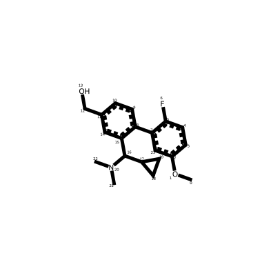 COc1ccc(F)c(-c2ccc(CO)cc2C(C2CC2)N(C)C)c1